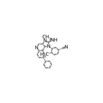 Cc1ccc(C#N)cc1-n1c(=N)n(C)c2cnc3ccc(-c4ccccc4)cc3c21